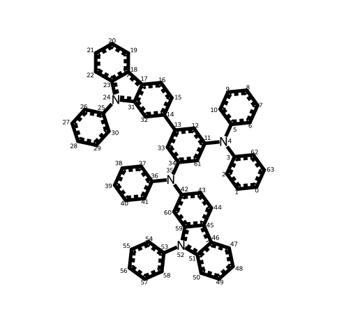 c1ccc(N(c2ccccc2)c2cc(-c3ccc4c5ccccc5n(-c5ccccc5)c4c3)cc(N(c3ccccc3)c3ccc4c5ccccc5n(-c5ccccc5)c4c3)c2)cc1